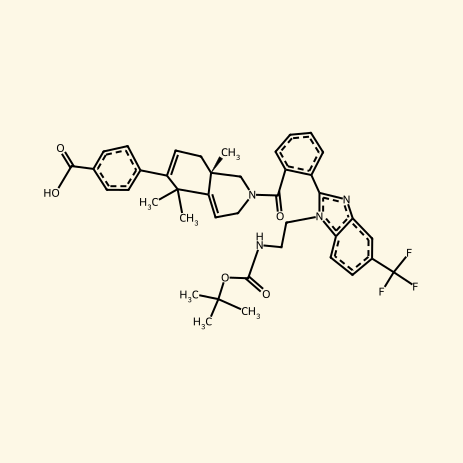 CC(C)(C)OC(=O)NCCn1c(-c2ccccc2C(=O)N2CC=C3C(C)(C)C(c4ccc(C(=O)O)cc4)=CC[C@]3(C)C2)nc2cc(C(F)(F)F)ccc21